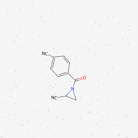 N#Cc1ccc(C(=O)N2CC2C#N)cc1